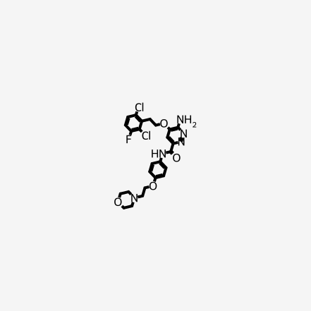 Nc1nnc(C(=O)Nc2ccc(OCCN3CCOCC3)cc2)cc1OCCc1c(Cl)ccc(F)c1Cl